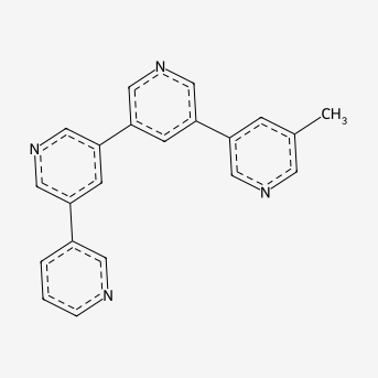 Cc1cncc(-c2cncc(-c3cncc(-c4cccnc4)c3)c2)c1